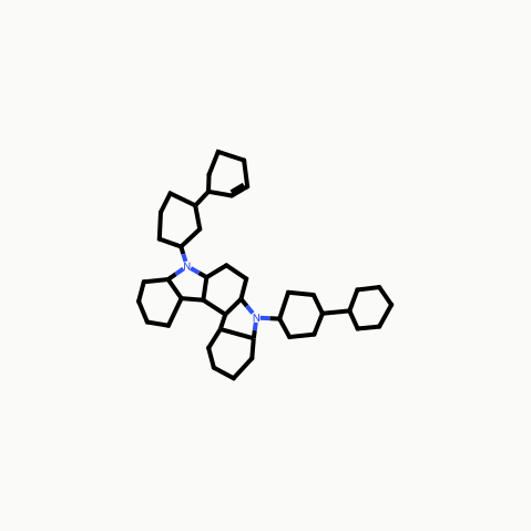 C1=CC(C2CCCC(N3C4CCCCC4C4C5C6CCCCC6N(C6CCC(C7CCCCC7)CC6)C5CCC43)C2)CCC1